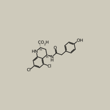 O=C(Cc1ccc(O)cc1)N[C@@H]1C[C@@H](C(=O)O)Nc2cc(Cl)cc(Cl)c21